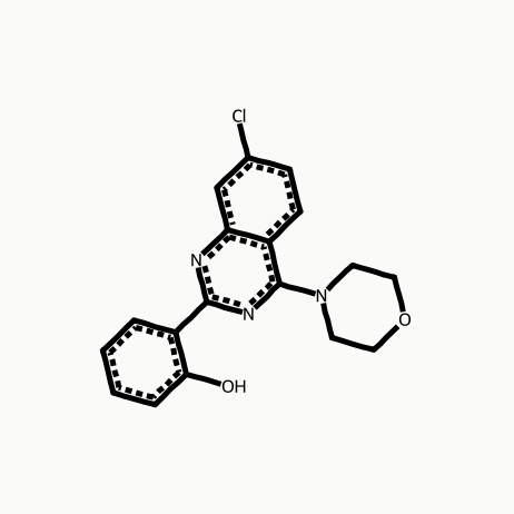 Oc1ccccc1-c1nc(N2CCOCC2)c2ccc(Cl)cc2n1